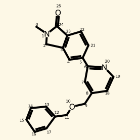 CN1Cc2cc(-c3cc(COCc4ccccc4)ccn3)ccc2C1=O